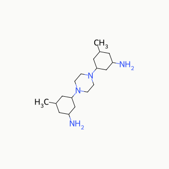 CC1CC(N)CC(N2CCN(C3CC(C)CC(N)C3)CC2)C1